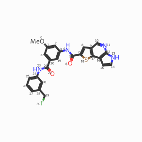 COc1cc(NC(=O)c2cc3cnc4[nH]ccc4c3s2)cc(C(=O)Nc2cccc(CF)c2)c1